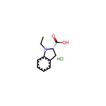 CCN1c2ccccc2C[C@H]1C(=O)O.Cl